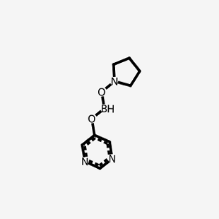 B(Oc1cncnc1)ON1CCCC1